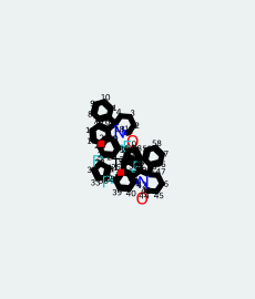 O=C1CCCC(c2ccccc2)(c2ccccc2)N1c1ccc(F)[c]([Ti]([C]2=CC=CC2)([C]2=CC=CC2)[c]2c(F)ccc(N3C(=O)CCCC3(c3ccccc3)c3ccccc3)c2F)c1F